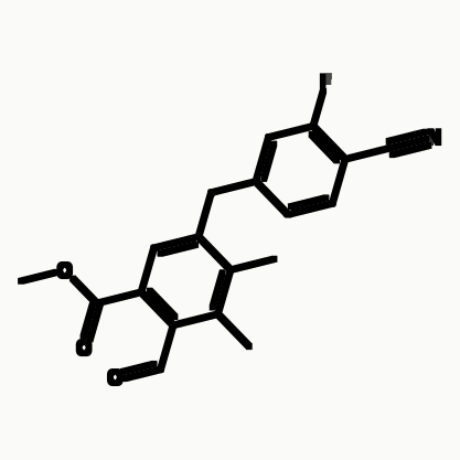 COC(=O)c1cc(Cc2ccc(C#N)c(F)c2)c(C)c(C)c1C=O